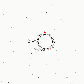 CC[C@@H]1NC(=O)[C@H]([C@H](O)[C@H](C)CCCCCOS(C)(=O)=O)NC(=O)[C@H](C(C)C)N(C)C(=O)[C@H](CC(C)C)N(C)C(=O)[C@H](CC(C)C)N(C)C(=O)[C@@H](C)NC(=O)[C@H](C)NC(=O)[C@H](CC(C)C)N(C)C(=O)[C@H](C(C)C)NC(=O)[C@H]([C@@H](C)OCCCCN2CCOCC2)N(C)C(=O)[C@@H](C)N(C)C1=O